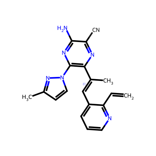 C=Cc1ncccc1/C=C(\C)c1nc(C#N)c(N)nc1-n1ccc(C)n1